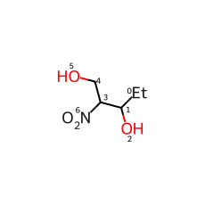 CCC(O)C(CO)[N+](=O)[O-]